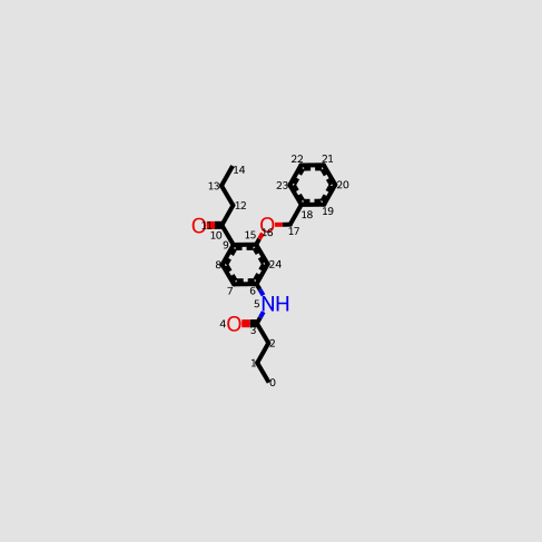 CCCC(=O)Nc1ccc(C(=O)CCC)c(OCc2ccccc2)c1